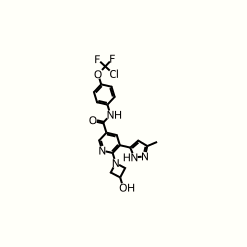 Cc1cc(-c2cc(C(=O)Nc3ccc(OC(F)(F)Cl)cc3)cnc2N2CC(O)C2)[nH]n1